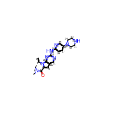 C=Cn1c(C(=O)N(C)C)cc2cnc(Nc3ccc(N4CCNCC4)cn3)nc21